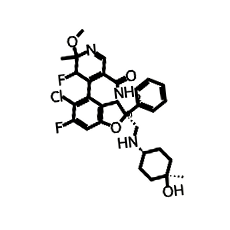 COC1(C)N=CC(C(N)=O)=C(c2c(Cl)c(F)cc3c2C[C@@](CN[C@H]2CC[C@](C)(O)CC2)(c2ccccc2)O3)C1F